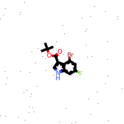 CC(C)(C)OC(=O)c1c[nH]c2cc(F)cc(Br)c12